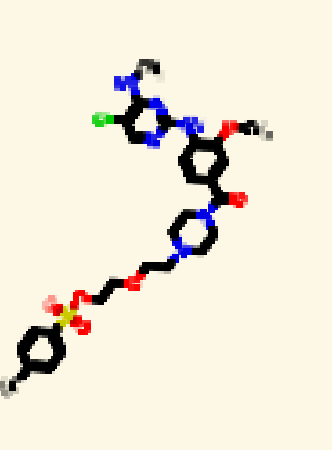 CNc1nc(Nc2ccc(C(=O)N3CCN(CCOCCOS(=O)(=O)c4ccc(C)cc4)CC3)cc2OC)ncc1Cl